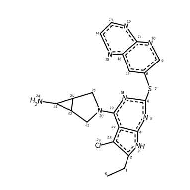 CCc1[nH]c2nc(Sc3cnc4nccnc4c3)nc(N3CC4C(N)C4C3)c2c1Cl